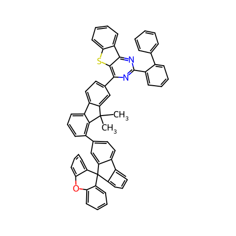 CC1(C)c2cc(-c3nc(-c4ccccc4-c4ccccc4)nc4c3sc3ccccc34)ccc2-c2cccc(-c3ccc4c(c3)C3(c5ccccc5Oc5ccccc53)c3ccccc3-4)c21